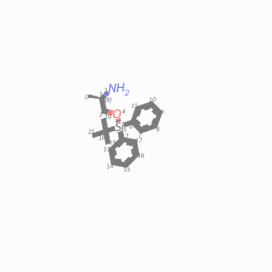 C[C@@H](N)CO[Si](c1ccccc1)(c1ccccc1)C(C)(C)C